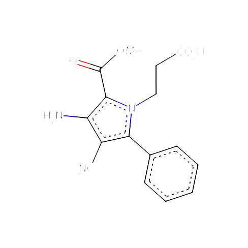 COC(=O)c1c(N)c(C#N)c(-c2ccccc2)n1CCC(=O)O